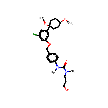 CO[C@H]1CC[C@](OC)(c2cc(F)cc(OCc3ccc(N(C)C(=O)N(C)CCCO)cc3)c2)CC1